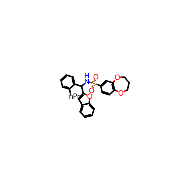 CCCc1ccccc1C(NS(=O)(=O)c1ccc2c(c1)OCCCO2)c1cc2ccccc2o1